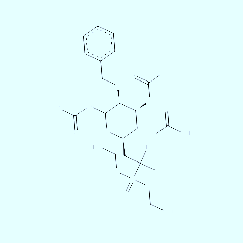 CCOP(=O)(OCC)C(F)(F)C[C@H]1OC(OC(C)=O)[C@@H](OCc2ccccc2)[C@@H](OC(C)=O)[C@@H]1OC(C)=O